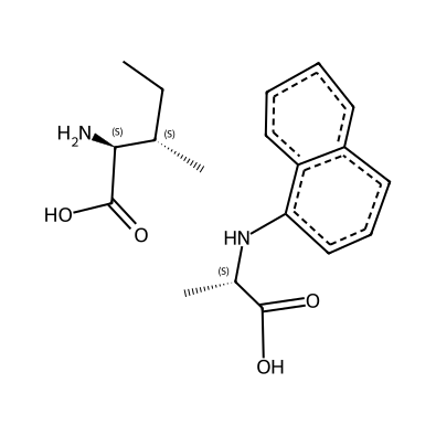 CC[C@H](C)[C@H](N)C(=O)O.C[C@H](Nc1cccc2ccccc12)C(=O)O